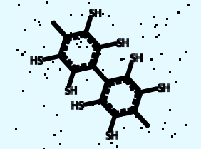 Cc1c(S)c(S)c(-c2c(S)c(S)c(C)c(S)c2S)c(S)c1S